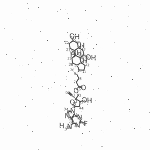 C#C[C@]1(COC(=O)CCC[C@H]2CC[C@H]3[C@@H]4[C@@H](O)C[C@@H]5C[C@H](O)CC[C@]5(C)[C@H]4CC[C@]23C)O[C@@H](n2cnc3c(N)nc(F)nc32)C[C@@H]1O